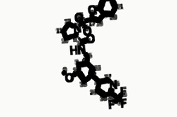 COc1cc(CNC(=O)[C@@H]2CCCN2S(=O)(=O)c2cc3ccccc3o2)cc(-c2ccc(C(F)(F)F)nc2)c1